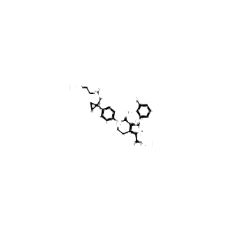 CN(CCO)CC1(c2ccc(N3CCc4c(C(N)=O)nn(-c5cccc(Cl)c5)c4C3=O)cc2)CC1